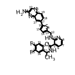 CC(NC(=O)c1cccnc1NCc1ccc(-c2ccc3ncc(N)nc3c2)s1)c1ccc(F)c(F)c1